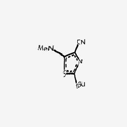 CNc1sc(C(C)(C)C)nc1C#N